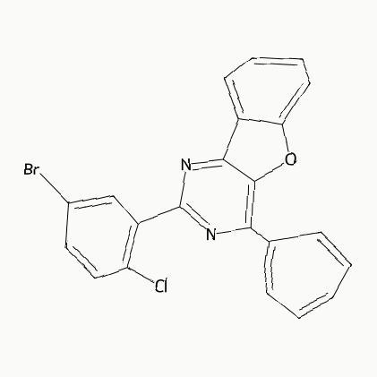 Clc1ccc(Br)cc1-c1nc(-c2ccccc2)c2oc3ccccc3c2n1